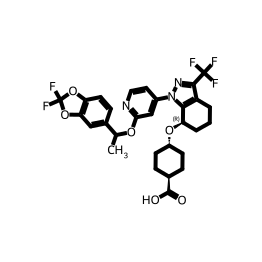 CC(Oc1cc(-n2nc(C(F)(F)F)c3c2[C@H](O[C@H]2CC[C@H](C(=O)O)CC2)CCC3)ccn1)c1ccc2c(c1)OC(F)(F)O2